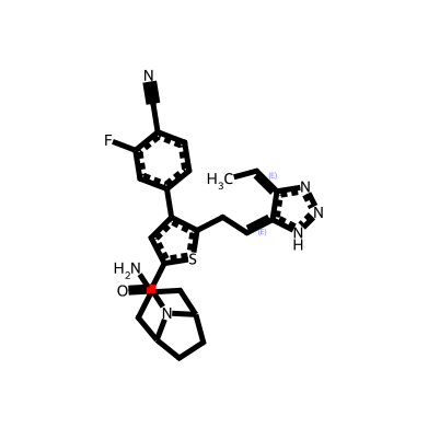 C/C=c1/nn[nH]/c1=C/Cc1sc(C(=O)N2C3CCC2CC(N)C3)cc1-c1ccc(C#N)c(F)c1